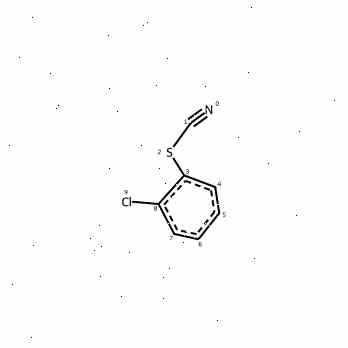 N#CSc1ccccc1Cl